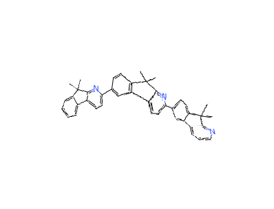 CC1(C)c2ccc(-c3ccc4c(n3)C(C)(C)c3ccc(-c5ccc6c(n5)C(C)(C)c5ccccc5-6)cc3-4)cc2-c2cccnc21